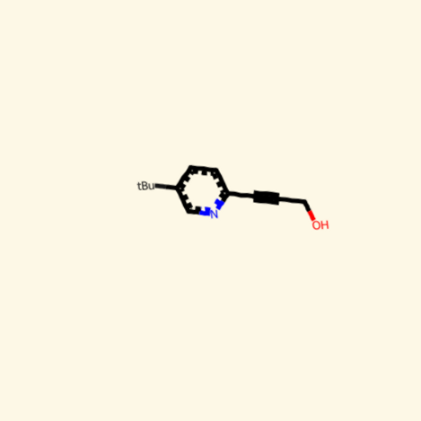 CC(C)(C)c1ccc(C#CCO)nc1